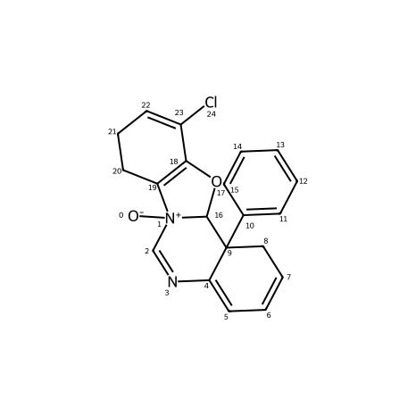 [O-][N+]12C=NC3=CC=CCC3(c3ccccc3)C1OC1=C2CCC=C1Cl